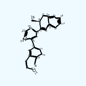 CC/C=C\C1=CC(c2cc(C3=Cc4ccccc4C[C@@H]3C)ncn2)=CCC1C